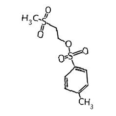 Cc1ccc(S(=O)(=O)OCCS(C)(=O)=O)cc1